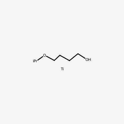 CC(C)OCCCCO.[Ti]